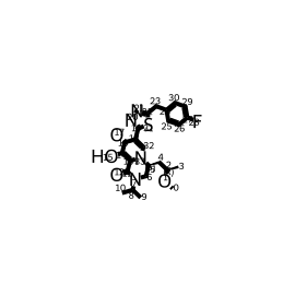 CO[C@H](C)C[C@H]1CN(C(C)C)C(=O)c2c(O)c(=O)c(-c3nnc(Cc4ccc(F)cc4)s3)cn21